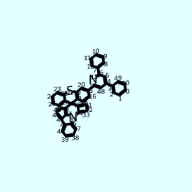 c1ccc(-c2cc(-c3ccccc3)nc(-c3ccc4c(c3)Sc3ccccc3C43c4ccccc4-n4c5ccccc5c5cccc3c54)c2)cc1